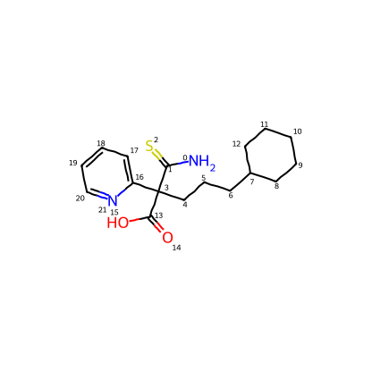 NC(=S)C(CCCC1CCCCC1)(C(=O)O)c1ccccn1